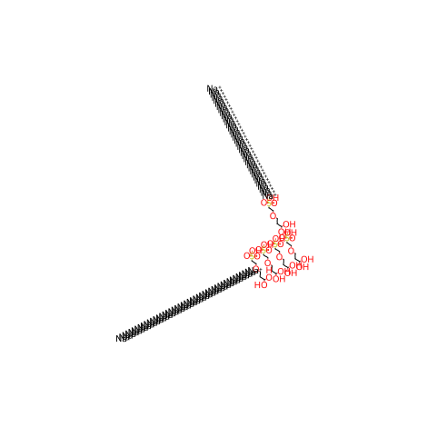 O=S(=O)(O)CCOCCC(O)O.O=S(=O)(O)CCOCCC(O)O.O=S(=O)(O)CCOCCC(O)O.O=S(=O)(O)CCOCCC(O)O.O=S(=O)(O)CCOCCC(O)O.[Na+].[Na+].[Na+].[Na+].[Na+].[Na+].[Na+].[Na+].[Na+].[Na+].[Na+].[Na+].[Na+].[Na+].[Na+].[Na+].[Na+].[Na+].[Na+].[Na+].[Na+].[Na+].[Na+].[Na+].[Na+].[Na+].[Na+].[Na+].[Na+].[Na+].[Na+].[Na+].[Na+].[Na+].[Na+].[Na+].[Na+].[Na+].[Na+].[Na+].[Na+].[Na+].[Na+].[Na+].[Na+].[Na+].[Na+].[Na+].[Na+].[Na+].[Na+].[Na+].[Na+].[Na+].[Na+].[Na+].[Na+].[Na+].[Na+].[Na+].[Na+].[Na+].[Na+].[Na+].[Na+].[Na+].[Na+].[Na+].[Na+].[Na+].[Na+].[Na+].[Na+].[Na+].[Na+].[Na+].[Na+].[Na+].[Na+].[Na+]